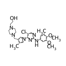 COc1cc(Nc2ncc(Cl)c(-n3cc(C)c(CN4CCN(CCO)CC4)c3)n2)cc(C)c1OC